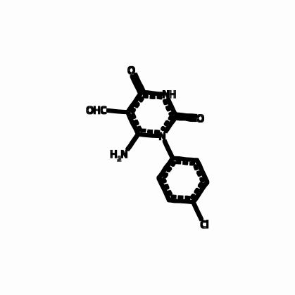 Nc1c(C=O)c(=O)[nH]c(=O)n1-c1ccc(Cl)cc1